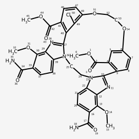 COC(=O)c1cc2ccc1-c1nc3c(OC)c(C(N)=O)ccc3n1CCn1c(nc3c(OC)c(C(N)=O)ccc31)-c1c(C(=O)OC)ccc(c1Cl)OCCO2